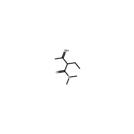 [CH2]C(=N)C(CC)C(=O)N(C)C